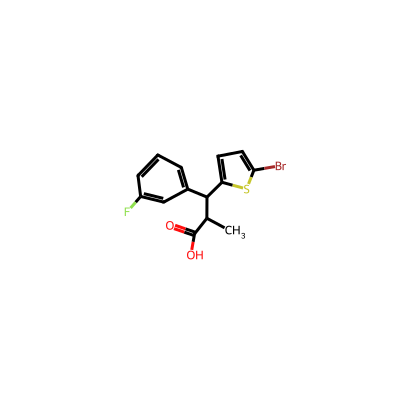 CC(C(=O)O)C(c1cccc(F)c1)c1ccc(Br)s1